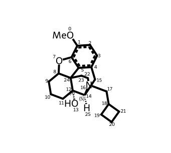 COc1ccc2c3c1OC1CCC[C@]4(O)[C@H](C2)N(CC2CCC2)CCC314